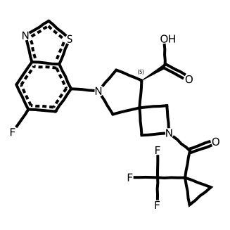 O=C(O)[C@@H]1CN(c2cc(F)cc3ncsc23)CC12CN(C(=O)C1(C(F)(F)F)CC1)C2